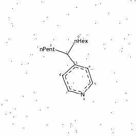 CCCCCCC(CCCCC)c1ccncc1